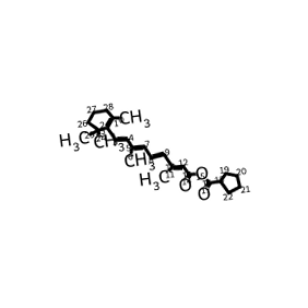 CC1=C(/C=C/C(C)=C/C=C/C(C)=C/C(=O)OC(=O)C2CCCC2)C(C)(C)CCC1